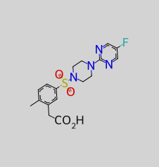 Cc1ccc(S(=O)(=O)N2CCN(c3ncc(F)cn3)CC2)cc1CC(=O)O